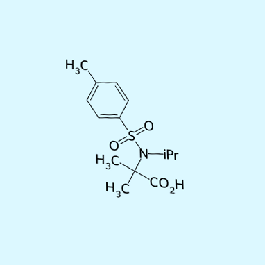 Cc1ccc(S(=O)(=O)N(C(C)C)C(C)(C)C(=O)O)cc1